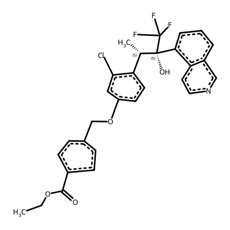 CCOC(=O)c1ccc(COc2ccc([C@H](C)[C@](O)(c3cccc4cnccc34)C(F)(F)F)c(Cl)c2)cc1